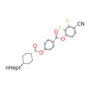 CCCCCCC[C@H]1CC[C@H](C(=O)Oc2ccc(C(=O)Oc3ccc(C#N)c(F)c3F)cc2)CC1